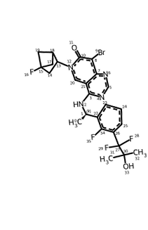 C[C@@H](Nc1ncnc2c(Br)c(=O)n(C3CC4(F)CC3C4)cc12)c1cccc(C(F)(F)C(C)(C)O)c1F